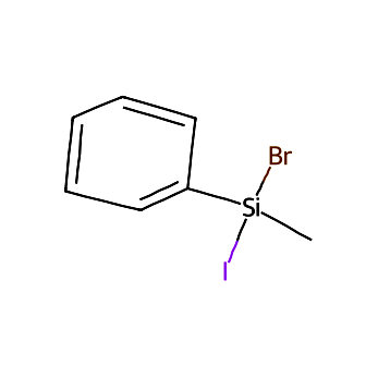 C[Si](Br)(I)c1ccccc1